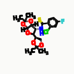 CC1(C)O[C@H]2O[C@H]([C@H]3COC(C)(C)O3)[C@@H](NC(=S)c3ccc(F)cc3Cl)[C@H]2O1